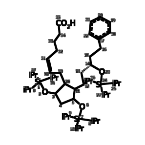 CC(C)[Si](OC1CC(O[Si](C(C)C)(C(C)C)C(C)C)C(CC[C@H](CCc2ccccc2)O[Si](C(C)C)(C(C)C)C(C)C)C1C/C=C\CCCC(=O)O)(C(C)C)C(C)C